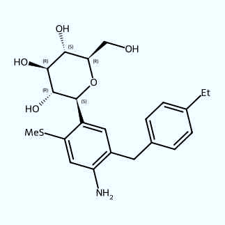 CCc1ccc(Cc2cc([C@@H]3O[C@H](CO)[C@@H](O)[C@H](O)[C@H]3O)c(SC)cc2N)cc1